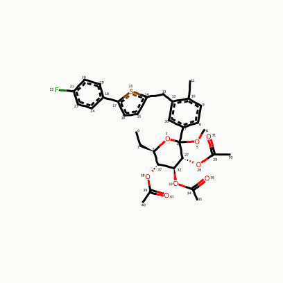 CC[C@H]1OC(OC)(c2ccc(C)c(Cc3ccc(-c4ccc(F)cc4)s3)c2)[C@H](OC(C)=O)[C@@H](OC(C)=O)[C@@H]1OC(C)=O